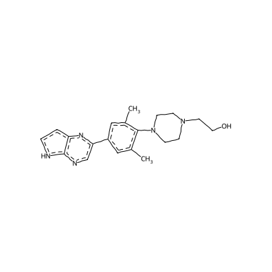 Cc1cc(-c2cnc3[nH]ccc3n2)cc(C)c1N1CCN(CCO)CC1